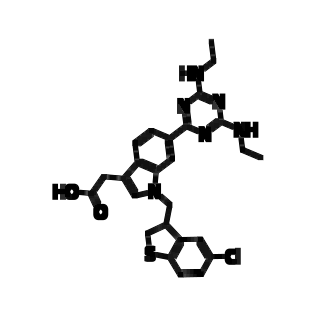 CCNc1nc(NCC)nc(-c2ccc3c(CC(=O)O)cn(CC4CSc5ccc(Cl)cc54)c3c2)n1